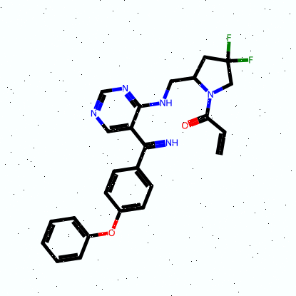 C=CC(=O)N1CC(F)(F)CC1CNc1ncncc1C(=N)c1ccc(Oc2ccccc2)cc1